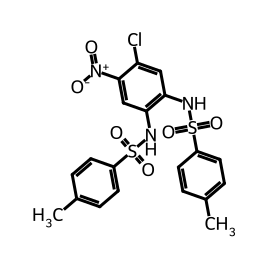 Cc1ccc(S(=O)(=O)Nc2cc(Cl)c([N+](=O)[O-])cc2NS(=O)(=O)c2ccc(C)cc2)cc1